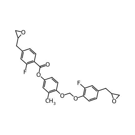 Cc1cc(OC(=O)c2ccc(CC3CO3)cc2F)ccc1OCOc1ccc(CC2CO2)cc1F